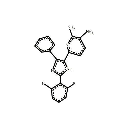 Nc1ccc(-c2[nH]c(-c3c(F)cccc3F)nc2-c2ccccc2)nc1N